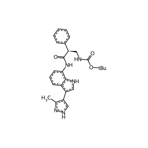 Cc1n[nH]cc1-c1c[nH]c2c(NC(=O)[C@H](CNC(=O)OC(C)(C)C)c3ccccc3)cccc12